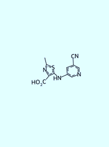 Cc1nc(C(=O)O)c(Nc2cncc(C#N)c2)s1